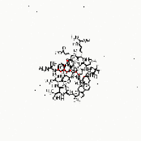 CC(C)[C@H](NC(=O)[C@@H](NC(=O)CC[C@@H](C)[C@H]1CCC2C3CCC4C[C@H](OC(=O)C(F)(F)F)CC[C@]4(C)C3CC[C@@]21C)[C@@H](C)O)C(=O)N[C@@H](Cc1ccccc1)C(=O)N[C@@H](CCCNC(=N)N)C(=O)N[C@@H](CO)C(=O)NC(CO)C(=O)N[C@@H](CCCNC(=N)N)C(=O)N[C@@H](CCC(=O)O)C(=O)N[C@@H](CCCCN)C(=O)N[C@H](C)CCCNC(=N)N